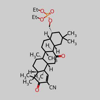 CCOP(=O)(OCC)OC[C@@H]1CC(C)(C)C[C@H]2[C@@H]1CC[C@]1(C)[C@@H]2C(=O)C[C@@H]2[C@@]3(C)C=C(C#N)C(=O)C(C)(C)[C@@H]3CC[C@]21C